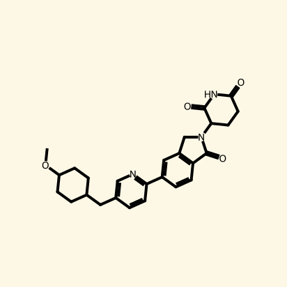 COC1CCC(Cc2ccc(-c3ccc4c(c3)CN(C3CCC(=O)NC3=O)C4=O)nc2)CC1